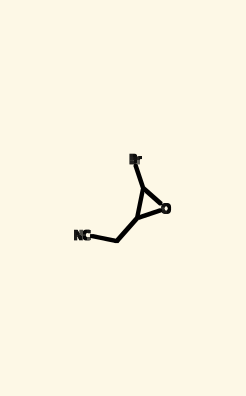 N#CCC1OC1Br